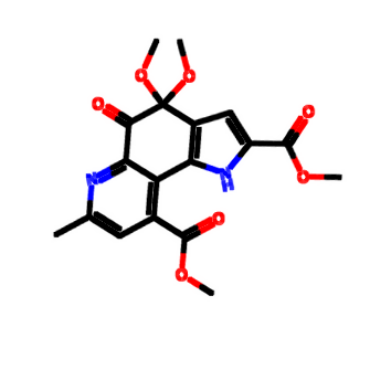 COC(=O)c1cc2c([nH]1)-c1c(C(=O)OC)cc(C)nc1C(=O)C2(OC)OC